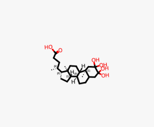 C[C@H](CCC(=O)O)[C@H]1CC[C@H]2[C@@H]3CCC4CC(O)(O)C(O)(O)C[C@]4(C)[C@H]3CC[C@]12C